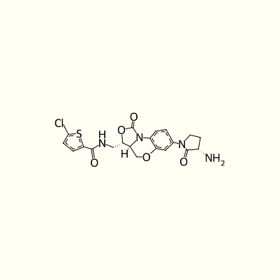 N[C@H]1CCN(c2ccc3c(c2)OC[C@H]2[C@H](CNC(=O)c4ccc(Cl)s4)OC(=O)N32)C1=O